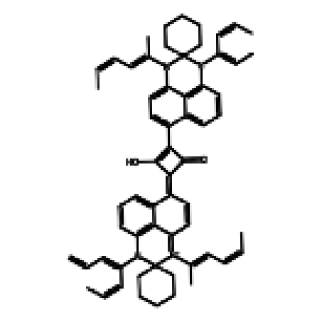 C=C/C=C(\C=C/C)N1c2cccc3/c(=C4/C(=O)C(c5ccc6c7c(cccc57)N(C(/C=C\C)=C/C)C5(CCCCC5)N6/C(C)=C/C=C\C)=C4O)ccc(c23)=[N+](/C(C)=C/C=C\C)C12CCCCC2